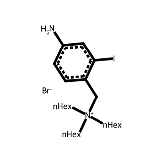 CCCCCC[N+](CCCCCC)(CCCCCC)Cc1ccc(N)cc1I.[Br-]